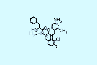 CNC(Cc1ccccc1)C(=O)N[C@H](Cc1ccc(Cl)c(Cl)c1)C(=O)NCc1ccc(N)nc1C